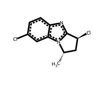 C[C@H]1C[C@H](Cl)c2nc3ccc(Cl)cc3n21